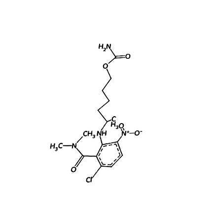 CC(CCCCOC(N)=O)Nc1c([N+](=O)[O-])ccc(Cl)c1C(=O)N(C)C